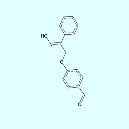 O=Cc1ccc(OCC(=NO)c2ccccc2)cc1